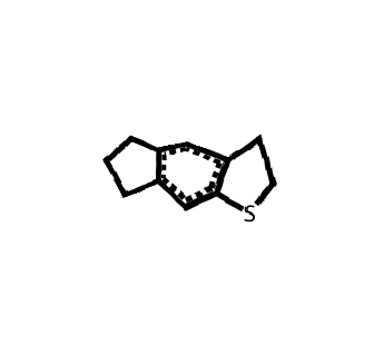 c1c2c(cc3c1CCS3)CCC2